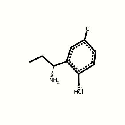 CC[C@@H](N)c1cc(Cl)ccc1Br.Cl